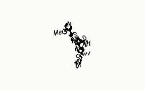 COc1ccncc1-c1cn2nc3c4ncc(NC(=O)CN5C[C@H](C)O[C@@H](C)C5)cc4[nH]c(=O)c3c2s1